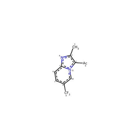 CC(=O)c1c(C)nc2ccc(C(F)(F)F)cn12